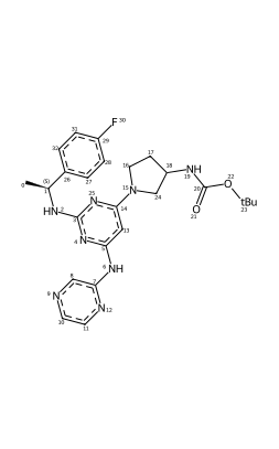 C[C@H](Nc1nc(Nc2cnccn2)cc(N2CCC(NC(=O)OC(C)(C)C)C2)n1)c1ccc(F)cc1